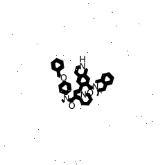 C[C@@H]1Cc2ccccc2CN1C(=O)c1cc2c(cc1-c1cc(C(=O)N(C)c3ccc(OCc4ccccc4)cc3)c3n1CCCC3)CCNC2